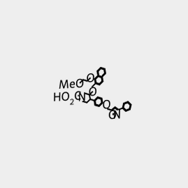 COCCOc1c(COC2CN(C(=O)O)CCC2c2ccc(OCc3cc(-c4ccccc4)no3)cc2)ccc2ccccc12